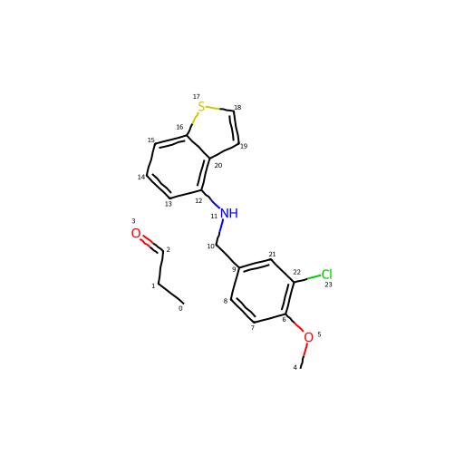 CCC=O.COc1ccc(CNc2cccc3sccc23)cc1Cl